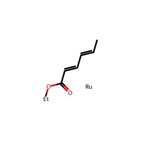 CC=CC=CC(=O)OCC.[Ru]